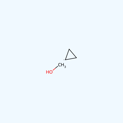 CO.[CH]1CC1